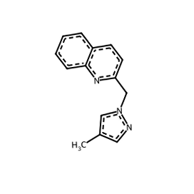 Cc1cnn(Cc2ccc3ccccc3n2)c1